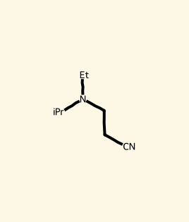 CCN(CCC#N)C(C)C